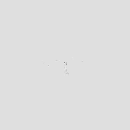 C=CCN(Br)CC=C